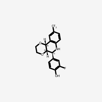 Oc1ccc([C@@H]2Nc3ccc(C(F)(F)F)cc3[C@H]3OCCO[C@H]32)cc1F